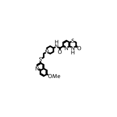 COc1ccc2ncc(SCCN3CCC(NC(=O)c4ccc5c(n4)NC(=O)CS5)CC3)cc2c1